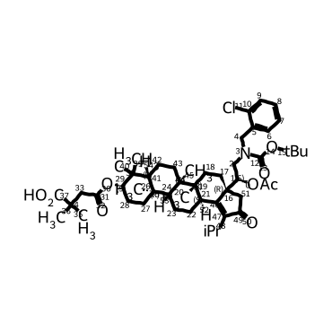 CC(=O)O[C@H](CN(Cc1ccccc1Cl)C(=O)OC(C)(C)C)[C@@]12CC[C@]3(C)[C@H](CC[C@@H]4[C@@]5(C)CC[C@H](OC(=O)CC(C)(C)C(=O)O)C(C)(C)[C@@H]5CC[C@]43C)C1=C(C(C)C)C(=O)C2